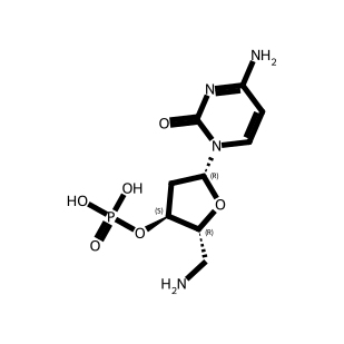 NC[C@H]1O[C@@H](n2ccc(N)nc2=O)C[C@@H]1OP(=O)(O)O